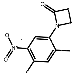 Cc1cc(C)c([N+](=O)[O-])cc1N1CCC1=O